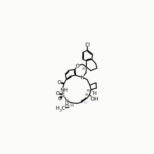 CC[C@H]1C/C=C/[C@H](O)[C@@H]2CCC2CN2C[C@@]3(CCCc4cc(Cl)ccc43)COc3ccc(cc32)C(=O)NS(=O)(=O)N1